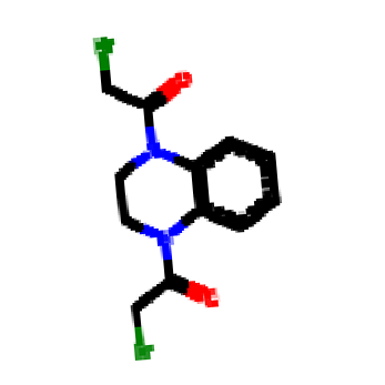 O=C(CBr)N1CCN(C(=O)CBr)c2ccccc21